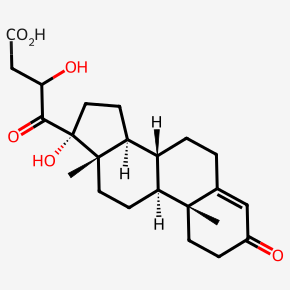 C[C@]12CCC(=O)C=C1CC[C@@H]1[C@@H]2CC[C@@]2(C)[C@H]1CC[C@]2(O)C(=O)C(O)CC(=O)O